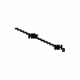 Br.CCCCCCCCCCCCCCCCCCCCCCCCCCCCN